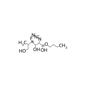 CCCCO[C@H](O)C(N=[N+]=[N-])C(O)[C@H](F)C(C)CO